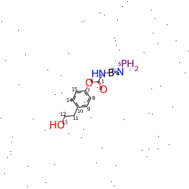 O=C(N/B=N/P)Oc1ccc(CCO)cc1